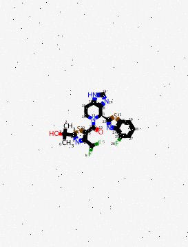 CC(C)(O)c1nc(C(F)F)c(C(=O)N2CCc3[nH]cnc3[C@H]2c2nc3c(F)cccc3s2)s1